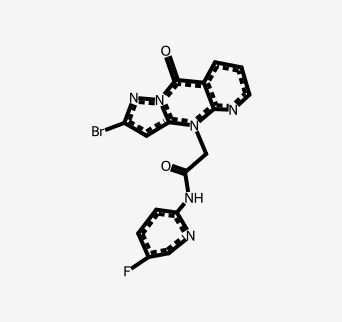 O=C(Cn1c2ncccc2c(=O)n2nc(Br)cc12)Nc1ccc(F)cn1